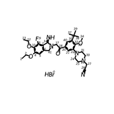 Br.CCOc1cc2c(c(F)c1OCC)C(=N)N(CC(=O)c1cc(N3CCN(CC#N)CC3)c(OC)c(C(C)(C)C)c1)C2